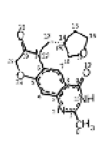 Cc1nc2cc3c(cc2c(=O)[nH]1)N(C[C@@H]1CCOC1)C(=O)CO3